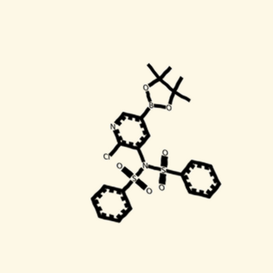 CC1(C)OB(c2cnc(Cl)c(N(S(=O)(=O)c3ccccc3)S(=O)(=O)c3ccccc3)c2)OC1(C)C